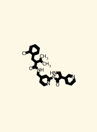 CC(C)C(Cc1ccccc1Cl)C(=O)NCc1ccnc(-n2[nH]cc(-c3cccnc3)c2=O)c1